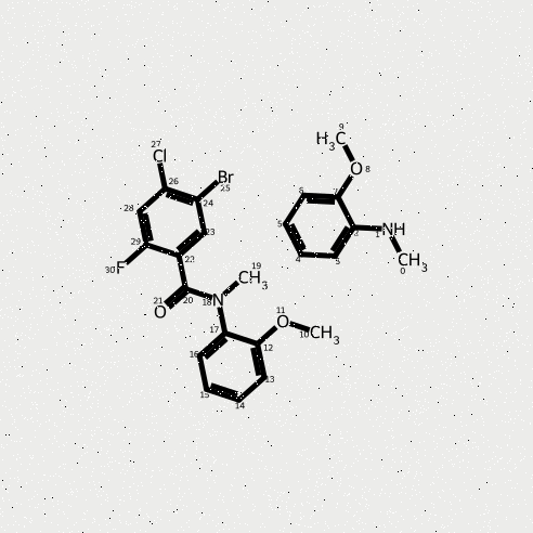 CNc1ccccc1OC.COc1ccccc1N(C)C(=O)c1cc(Br)c(Cl)cc1F